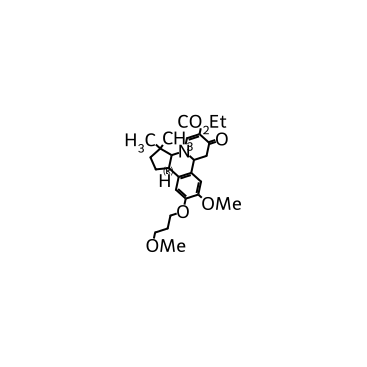 CCOC(=O)C1=CN2C(CC1=O)c1cc(OC)c(OCCCOC)cc1[C@H]1CCC(C)(C)C12